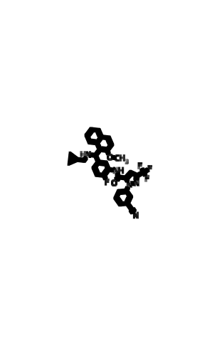 COc1ccc2ccccc2c1C(NCC1CC1)c1ccc(F)c(NC(=O)c2cc(C(F)(F)F)nn2-c2cccc(C#N)c2)c1